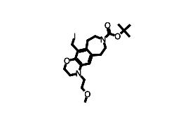 COCCN1CCOc2c1cc1c(c2CI)CCN(C(=O)OC(C)(C)C)CC1